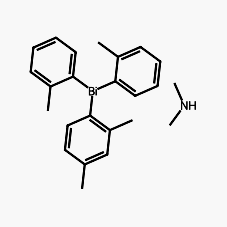 CNC.Cc1cc[c]([Bi]([c]2ccccc2C)[c]2ccccc2C)c(C)c1